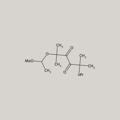 CCCC(C)(C)C(=O)C(=O)C(C)(C)OC(C)OC